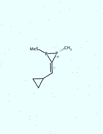 CSB1/C(=C\C2CC2)[P@@]1C